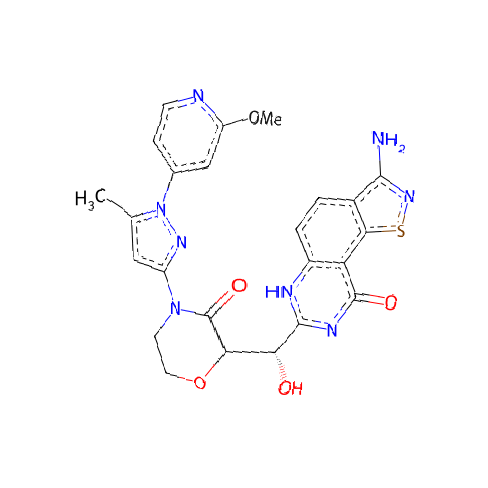 COc1cc(-n2nc(N3CCOC([C@@H](O)c4nc(=O)c5c(ccc6c(N)nsc65)[nH]4)C3=O)cc2C)ccn1